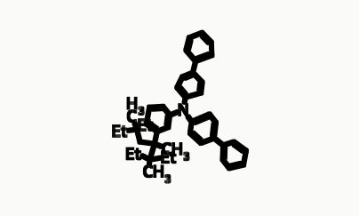 CCC(C)(CC)CC(C)(c1cccc(N(c2ccc(-c3ccccc3)cc2)c2ccc(-c3ccccc3)cc2)c1)C(C)(CC)CC